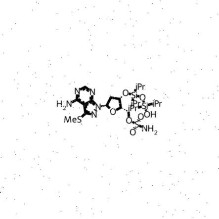 CSc1nn([C@H]2C[C@H](O[Si](O[Si](O)(C(C)C)C(C)C)(C(C)C)C(C)C)[C@H](COS(N)(=O)=O)O2)c2ncnc(N)c12